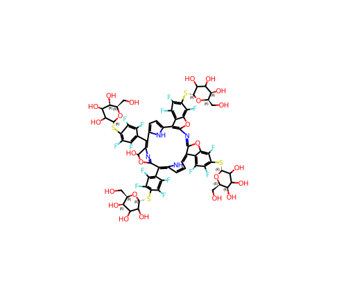 OC[C@H]1O[C@H](Sc2c(F)c(F)c(-c3c4nc(c(-c5c(F)c(F)c(S[C@H]6O[C@H](CO)[C@H](O)C(O)C6O)c(F)c5F)c5ccc([nH]5)c5c(nc6oc7c(F)c(S[C@H]8O[C@H](CO)[C@H](O)C(O)C8O)c(F)c(F)c7c6c6ccc3[nH]6)oc3c(F)c(S[C@H]6O[C@H](CO)[C@H](O)C(O)C6O)c(F)c(F)c35)C(O)O4)c(F)c2F)C(O)C(O)[C@H]1O